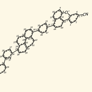 N#Cc1ccc2c(c1)Oc1cccc3c(-c4ccc(-c5ccc6ccc7c(-c8cccc(-c9ccccc9)n8)ccc8ccc5c6c87)cc4)ccc-2c13